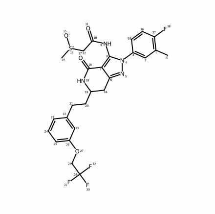 Cc1cc(-n2nc3c(c2NC(=O)C[S+](C)[O-])C(=O)NC(CCc2cccc(OCC(F)(F)F)c2)C3)ccc1F